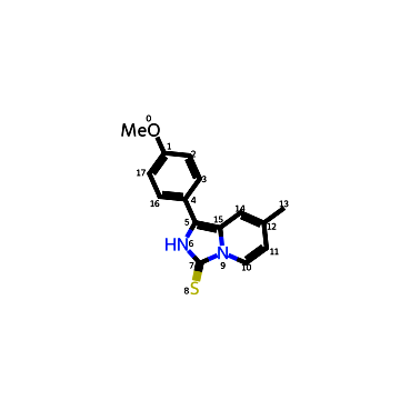 COc1ccc(-c2[nH]c(=S)n3ccc(C)cc23)cc1